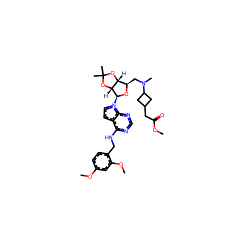 COC(=O)CC1CC(N(C)C[C@H]2O[C@@H](n3ccc4c(NCc5ccc(OC)cc5OC)ncnc43)[C@@H]3OC(C)(C)O[C@@H]32)C1